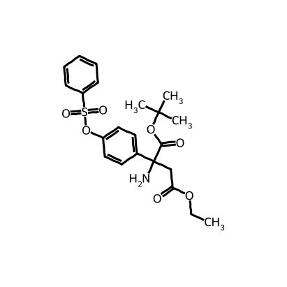 CCOC(=O)CC(N)(C(=O)OC(C)(C)C)c1ccc(OS(=O)(=O)c2ccccc2)cc1